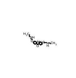 CCCNCCOc1ccc2c(=O)c3ccc(OCCNCCC)cc3[nH]c2c1